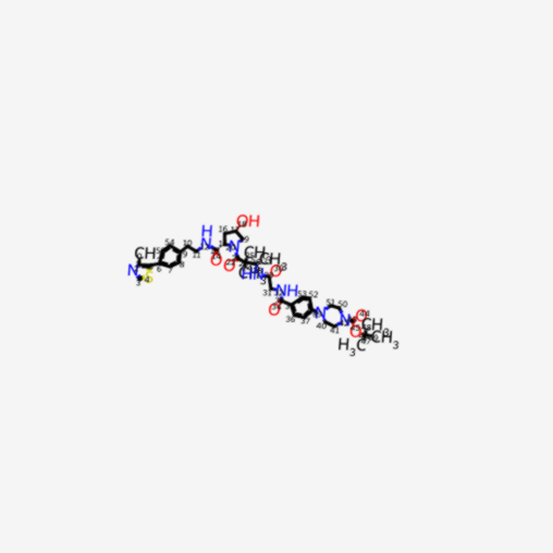 Cc1ncsc1-c1ccc(CCNC(=O)[C@@H]2C[C@@H](O)CN2C(=O)C(C)(C)[C@H](C)NC(=O)CNC(=O)c2ccc(N3CCN(C(=O)OC(C)(C)C)CC3)cc2)cc1